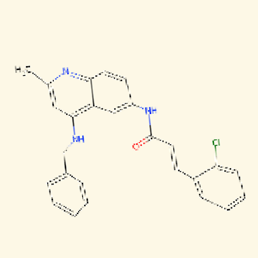 Cc1cc(NCc2ccccc2)c2cc(NC(=O)/C=C/c3ccccc3Cl)ccc2n1